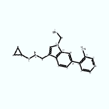 CC(C)(C)Cn1cc(CNSC2CC2)c2ccc(-c3ccncc3C#N)cc21